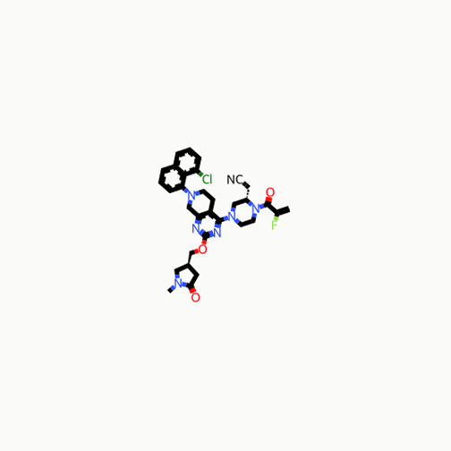 C=C(F)C(=O)N1CCN(c2nc(OC[C@H]3CC(=O)N(C)C3)nc3c2CCN(c2cccc4cccc(Cl)c24)C3)C[C@@H]1CC#N